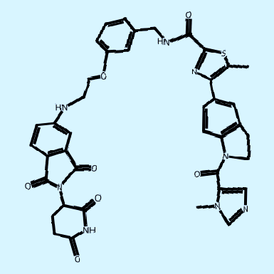 Cc1sc(C(=O)NCc2cccc(OCCNc3ccc4c(c3)C(=O)N(C3CCC(=O)NC3=O)C4=O)c2)nc1-c1ccc2c(c1)CCN2C(=O)c1cncn1C